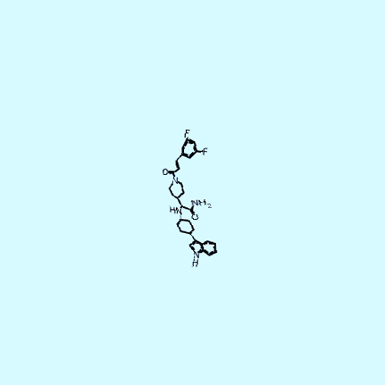 NC(=O)C(N[C@H]1CC[C@H](c2c[nH]c3ccccc32)CC1)C1CCN(C(=O)C=Cc2cc(F)cc(F)c2)CC1